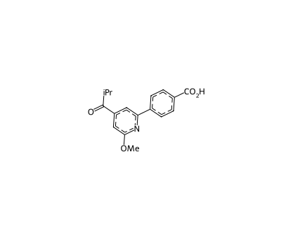 COc1cc(C(=O)C(C)C)cc(-c2ccc(C(=O)O)cc2)n1